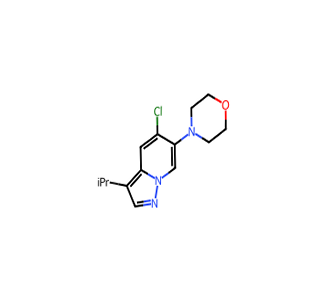 CC(C)c1cnn2cc(N3CCOCC3)c(Cl)cc12